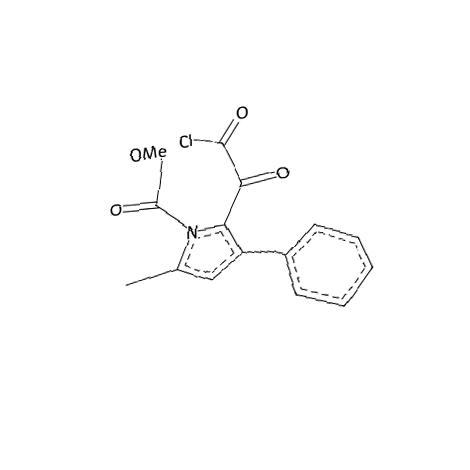 COC(=O)n1c(C)cc(-c2ccccc2)c1C(=O)C(=O)Cl